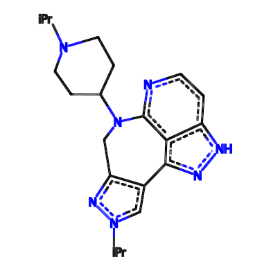 CC(C)N1CCC(N2Cc3nn(C(C)C)cc3-c3n[nH]c4ccnc2c34)CC1